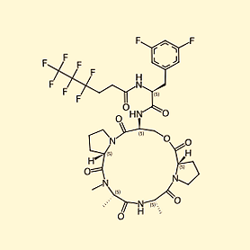 C[C@@H]1NC(=O)[C@H](C)N(C)C(=O)[C@@H]2CCCN2C(=O)[C@@H](NC(=O)[C@H](Cc2cc(F)cc(F)c2)NC(=O)CCC(F)(F)C(F)(F)C(F)(F)F)COC(=O)[C@@H]2CCCN2C1=O